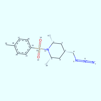 [CH2][C@@H]1C[C@H](CN=[N+]=[N-])C[C@H]([CH2])N1S(=O)(=O)c1ccc(C)cc1